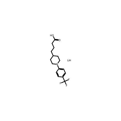 O=C(O)CCCC1CCN(c2ccc(C(F)(F)F)cc2)CC1.[LiH]